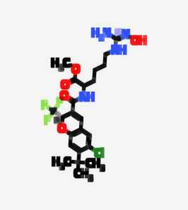 COC(=O)C(CCCCN/C(N)=N\O)NC(=O)C1=Cc2cc(Cl)c(C(C)(C)C)cc2O[C@@H]1C(F)(F)F